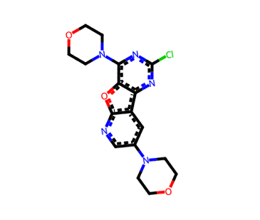 Clc1nc(N2CCOCC2)c2oc3ncc(N4CCOCC4)cc3c2n1